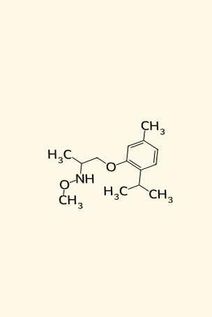 CONC(C)COc1cc(C)ccc1C(C)C